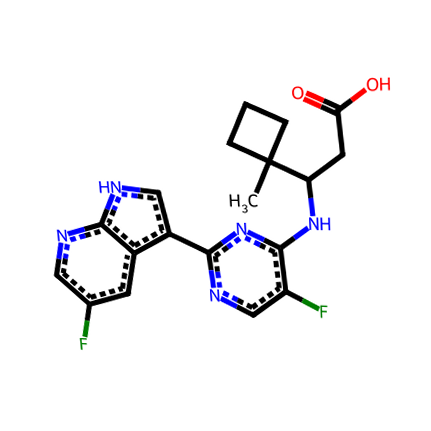 CC1(C(CC(=O)O)Nc2nc(-c3c[nH]c4ncc(F)cc34)ncc2F)CCC1